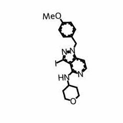 COc1ccc(Cn2nc(I)c3c(NC4CCOCC4)nccc32)cc1